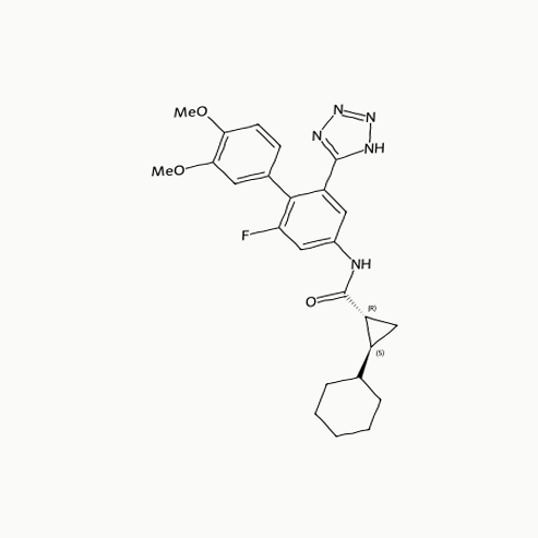 COc1ccc(-c2c(F)cc(NC(=O)[C@@H]3C[C@H]3C3CCCCC3)cc2-c2nnn[nH]2)cc1OC